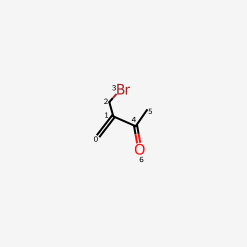 C=C(CBr)C(C)=O